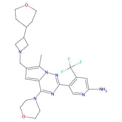 Cc1c(CN2CC(C3CCOCC3)C2)cc2c(N3CCOCC3)nc(-c3cnc(N)cc3C(F)(F)F)nn12